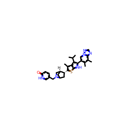 Cc1c(-c2[nH]c3sc([C@@H]4CC5C[C@H]4CN5Cc4ccc(=O)[nH]c4)c(C)c3c2C(C)C)cn2ncnc2c1C